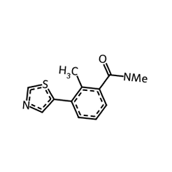 CNC(=O)c1cccc(-c2cncs2)c1C